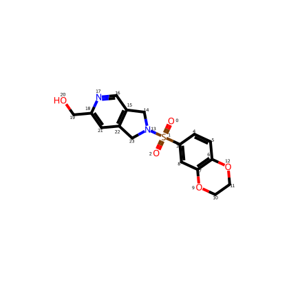 O=S(=O)(c1ccc2c(c1)OCCO2)N1Cc2cnc(CO)cc2C1